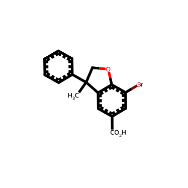 CC1(c2ccccc2)COc2c(Br)cc(C(=O)O)cc21